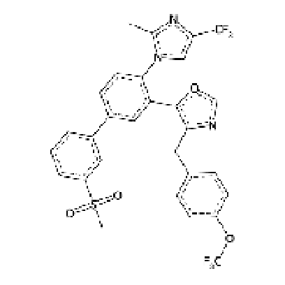 Cc1nc(C(F)(F)F)cn1-c1ccc(-c2cccc(S(C)(=O)=O)c2)cc1-c1ocnc1Cc1ccc(OC(F)(F)F)cc1